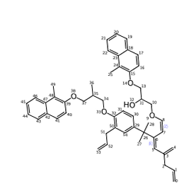 C=CCC(=C)/C=C(\C=C/OCC(O)COc1ccc2ccccc2c1C)C(C)(C)c1ccc(OCC(C)COc2ccc3ccccc3c2C)c(CC=C)c1